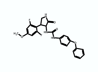 COc1cc(F)c(C2CNC(=O)C2NC(=O)Nc2ccc(Oc3ccccc3)cc2)c(F)c1